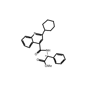 COC(=O)[C@H](NC(=O)c1cc(C2CCCCC2)nc2ccccc12)c1ccccc1